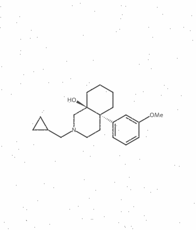 COc1cccc([C@@]23CCCC[C@@]2(O)CN(CC2CC2)CC3)c1